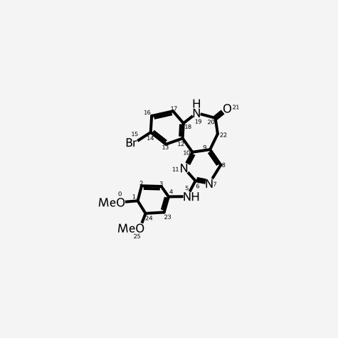 COC1C=CC(Nc2ncc3c(n2)-c2cc(Br)ccc2NC(=O)C3)=CC1OC